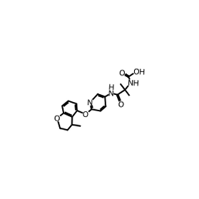 CC1CCOc2cccc(Oc3ccc(NC(=O)C(C)(C)NC(=O)O)cn3)c21